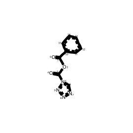 O=C(OC(=O)n1cnnn1)c1ccccc1